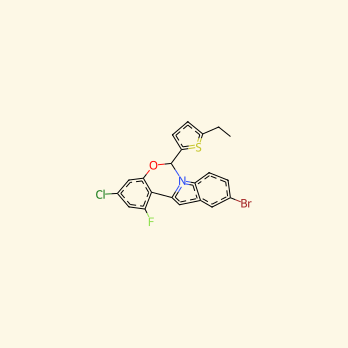 CCc1ccc(C2Oc3cc(Cl)cc(F)c3-c3cc4cc(Br)ccc4n32)s1